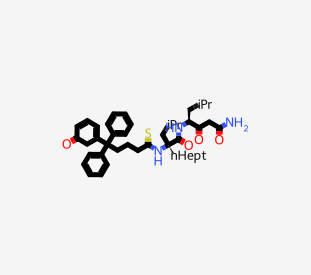 CCCCCCC[C@@](CC(C)C)(NC(=S)CCCC(C1=CC=CC(=O)C1)(c1ccccc1)c1ccccc1)C(=O)N[C@@H](CC(C)C)C(=O)CC(N)=O